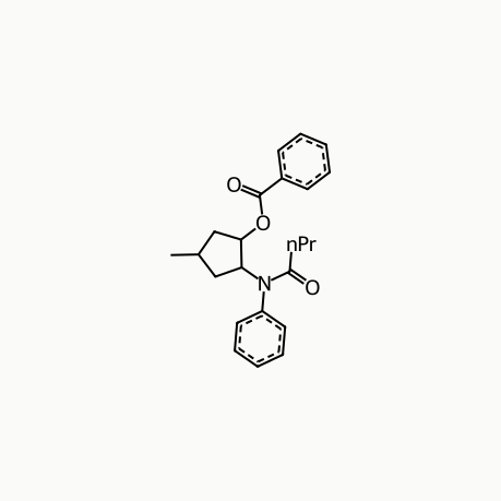 CCCC(=O)N(c1ccccc1)C1CC(C)CC1OC(=O)c1ccccc1